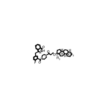 C[C@]12CCCC[C@@H]1CC[C@@H]1[C@@H]2CC[C@]2(C)[C@@H](OCCC(=O)N3CCN(C(=O)c4cc(Cc5n[nH]c(=O)c6ccccc56)ccc4F)CC3)CC[C@@H]12